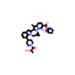 Cc1c(-c2cc3cccc(C4CCN(C(=O)C(C)O)CC4)c3n2CC2CC2)nn2cc(C(=O)N3CC4CCC3[C@@H]4N)ccc12